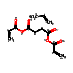 C=CC(=O)O.C=CC(=O)OC(=O)CCC(=O)OC(=O)C=C